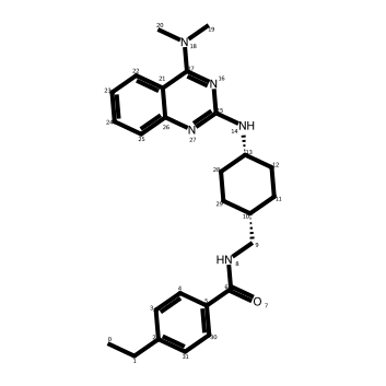 CCc1ccc(C(=O)NC[C@H]2CC[C@@H](Nc3nc(N(C)C)c4ccccc4n3)CC2)cc1